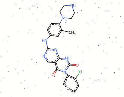 Cc1cc(Nc2ncc3c(=O)n(-c4ccccc4Cl)c(=O)[nH]c3n2)ccc1N1CCNCC1